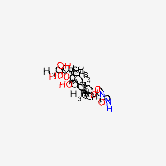 C[C@@H]1CC(C(O)C(C)(C)O)OC2C1C1(C)CCC34CC35CCC(OC3CN(C6CCNC6=O)CCO3)C(C)(C)[C@@H]5CCC4[C@]1(C)[C@H]2O